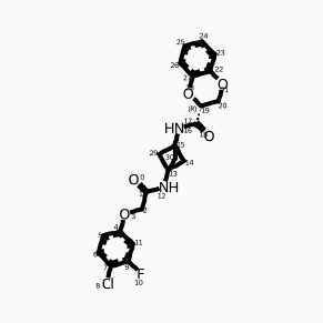 O=C(COc1ccc(Cl)c(F)c1)NC12CC(NC(=O)[C@H]3COc4ccccc4O3)(C1)C2